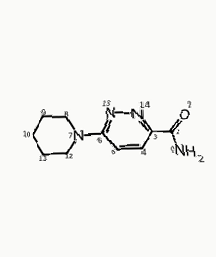 NC(=O)c1ccc(N2CCCCC2)nn1